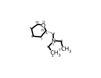 CCN(CC)C[C@@H]1CCCCO1